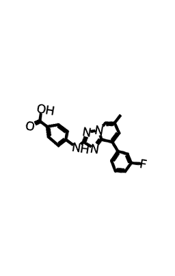 Cc1cc(-c2cccc(F)c2)c2nc(Nc3ccc(C(=O)O)cc3)nn2c1